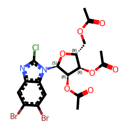 CC(=O)OC[C@H]1O[C@H](n2c(Cl)nc3cc(Br)c(Br)cc32)[C@H](OC(C)=O)[C@@H]1OC(C)=O